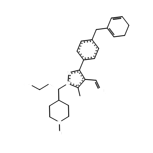 C=Cc1c(-c2ccc(CC3=CCCC=C3)cc2)nn([C@@H](CCC)C2CCN(C)CC2)c1C